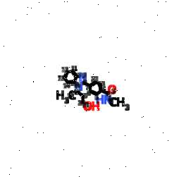 CNC(=O)c1ccc(-c2nc3ccccc3n2C(C)CCO)cc1